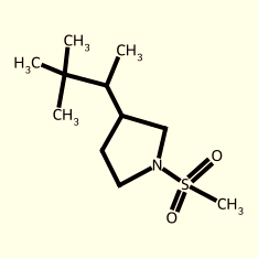 CC(C1CCN(S(C)(=O)=O)C1)C(C)(C)C